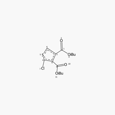 CC(C)COC(=O)c1csc(Cl)c1C(=O)OCC(C)C